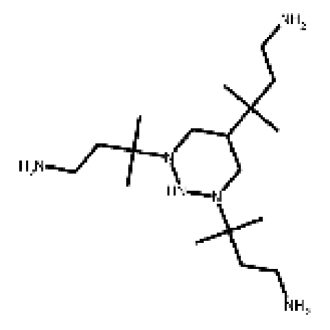 CC(C)(CCN)C1CN(C(C)(C)CCN)NN(C(C)(C)CCN)C1